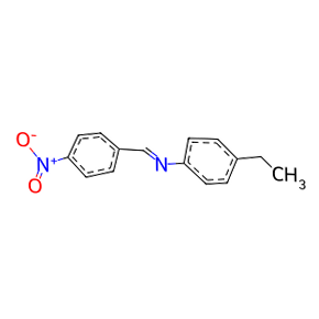 CCc1ccc(/N=C/c2ccc([N+](=O)[O-])cc2)cc1